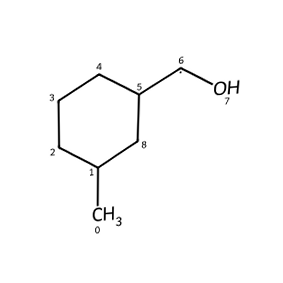 CC1CCCC([CH]O)C1